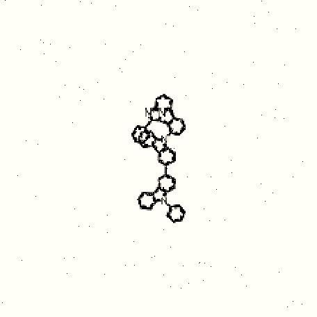 c1ccc(-c2nc3cccc4c5cccc(-n6c7ccccc7c7cc(-c8ccc9c(c8)c8ccccc8n9-c8ccccc8)ccc76)c5c2n34)cc1